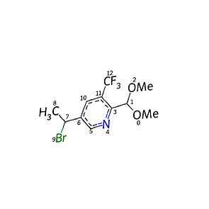 COC(OC)c1ncc(C(C)Br)cc1C(F)(F)F